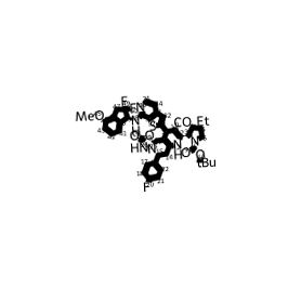 CCOC(=O)C1=C([C@@H]2CCCN2C(=O)OC(C)(C)C)NC(CCc2ccc(F)cc2)=C(c2n[nH]c(=O)o2)C1c1cc2ccnc(N[C@H]3c4cccc(OC)c4CC3(F)F)c2s1